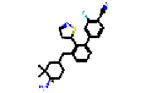 CC1(C)CC(Cc2cccc(-c3ccc(C#N)c(F)c3)c2C2CC=NS2)CC[C@H]1N